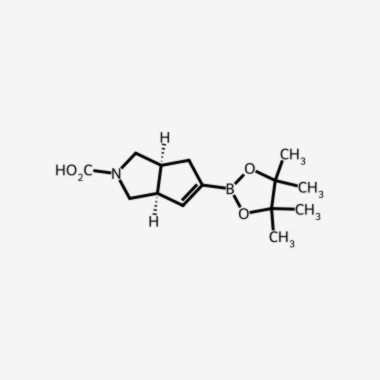 CC1(C)OB(C2=C[C@H]3CN(C(=O)O)C[C@H]3C2)OC1(C)C